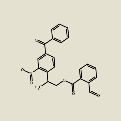 CC(COC(=O)c1ccccc1[C]=O)c1ccc(C(=O)c2ccccc2)cc1[N+](=O)[O-]